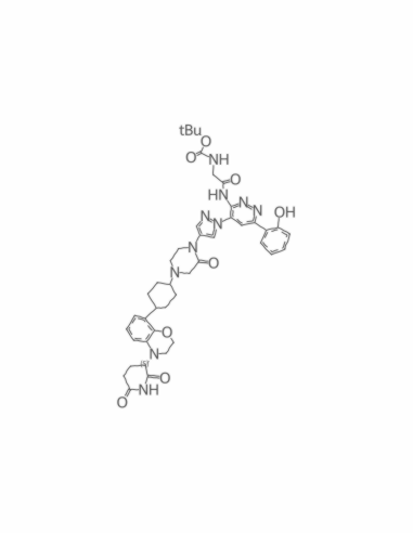 CC(C)(C)OC(=O)NCC(=O)Nc1nnc(-c2ccccc2O)cc1-n1cc(N2CCN(C3CCC(c4cccc5c4OCCN5[C@H]4CCC(=O)NC4=O)CC3)CC2=O)cn1